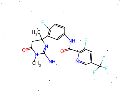 CN1C(=O)CC(C)(c2cc(NC(=O)c3ncc(C(F)(F)F)cc3F)ccc2F)N=C1N